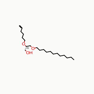 C=CCCCCO[C@@H](CO)COCCCCCCCCCCCC